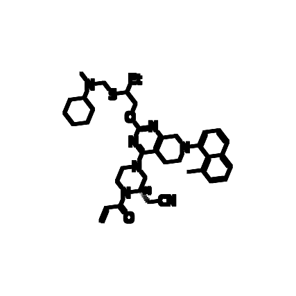 C=CC(=O)N1CCN(c2nc(OCC(CC)SCN(C)C3CCCCC3)nc3c2CCN(c2cccc4cccc(C)c24)C3)C[C@@H]1CC#N